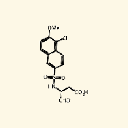 COc1ccc2cc(S(=O)(=O)N[C@H]([C]=O)CC(=O)O)ccc2c1Cl